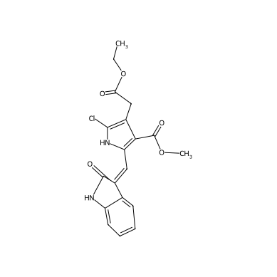 CCOC(=O)Cc1c(Cl)[nH]c(/C=C2\C(=O)Nc3ccccc32)c1C(=O)OC